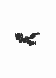 CCCCN1CCN(CCCOc2cc(C(=O)N3CC[C@H](C)Nc4ccccc43)ccc2-c2ccc3[nH]ccc3c2)CC1